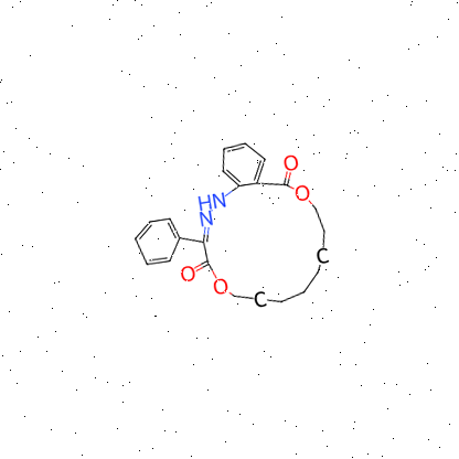 O=C1OCCCCCCCCOC(=O)c2ccccc2N/N=C\1c1ccccc1